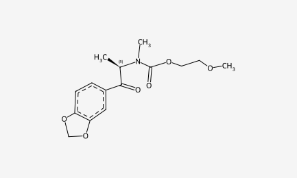 COCCOC(=O)N(C)[C@H](C)C(=O)c1ccc2c(c1)OCO2